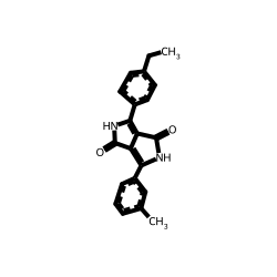 CCc1ccc(C2=C3C(=O)NC(c4cccc(C)c4)=C3C(=O)N2)cc1